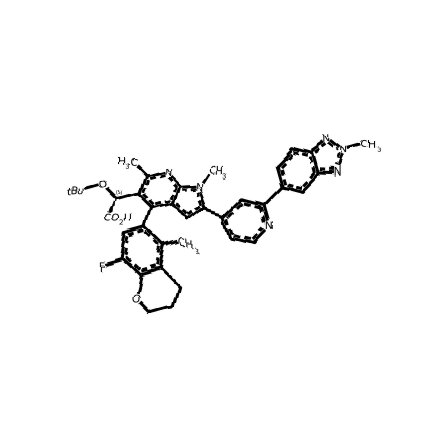 Cc1nc2c(cc(-c3ccnc(-c4ccc5nn(C)nc5c4)c3)n2C)c(-c2cc(F)c3c(c2C)CCCO3)c1[C@H](OC(C)(C)C)C(=O)O